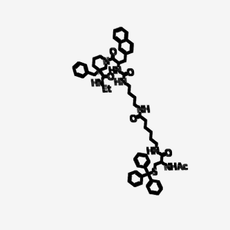 CCNC(=O)[C@]1(Cc2ccccc2)CCCN(C(=O)C(Cc2ccc3ccccc3c2)NC(=O)NCCCCNC(=O)CCCCCNC(=O)C(CSC(c2ccccc2)(c2ccccc2)c2ccccc2)NC(C)=O)C1